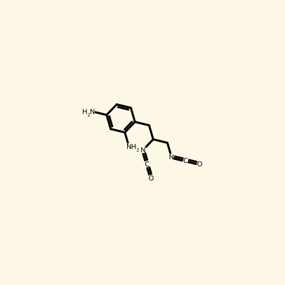 Nc1ccc(CC(CN=C=O)N=C=O)c(N)c1